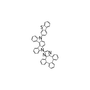 c1ccc2c(c1)-c1ccccc1-c1ncc(-n3c4ccccc4c4c5c6ccccc6n(-c6ccc7c(c6)sc6ccccc67)c5ccc43)nc1-c1ccccc1-2